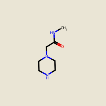 CNC(=O)[CH]N1CCNCC1